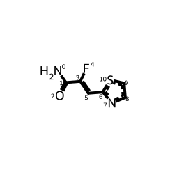 NC(=O)C(F)=Cc1nccs1